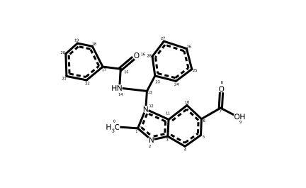 Cc1nc2ccc(C(=O)O)cc2n1C(NC(=O)c1ccccc1)c1ccccc1